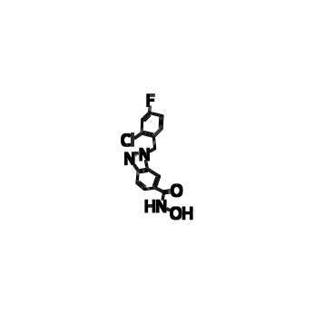 O=C(NO)c1ccc2ncn(Cc3ccc(F)cc3Cl)c2c1